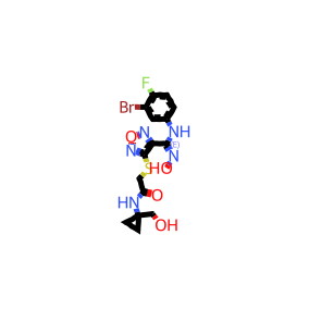 O=C(CSc1nonc1/C(=N\O)Nc1ccc(F)c(Br)c1)NC1(CO)CC1